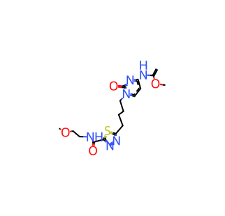 C=C(Nc1ccn(CCCCc2nnc(C(=O)NCCOC)s2)c(=O)n1)OC